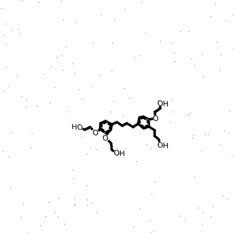 OCCCc1cc(CCCCc2ccc(OCCO)c(OCCO)c2)ccc1OCCO